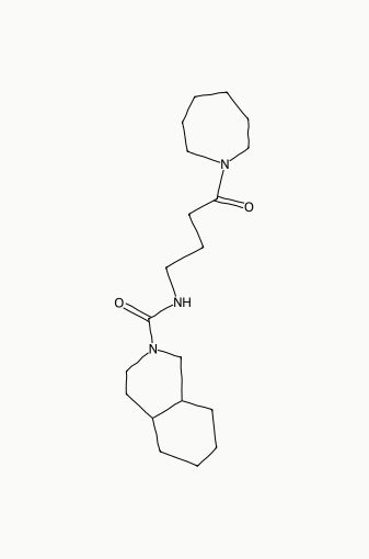 O=C(CCCNC(=O)N1CCC2CCCCC2C1)N1CCCCCC1